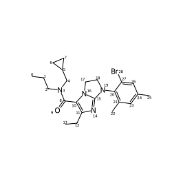 CCCN(CC1CC1)C(=O)c1c(CC)nc2n1CCN2c1c(C)cc(C)cc1Br